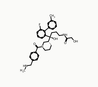 CNCc1ccc(C(=O)N2CCC[C@@H]([C@@](O)(CCCNC(=O)CO)c3cccc(F)c3-c3cccc(C)c3)C2)cc1